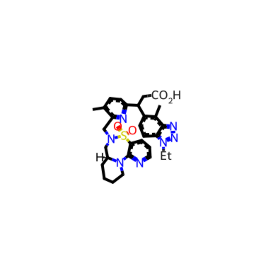 CCn1nnc2c(C)c(C(CC(=O)O)c3ccc(C)c(CN4C[C@@H]5CCCCN5c5ncccc5S4(=O)=O)n3)ccc21